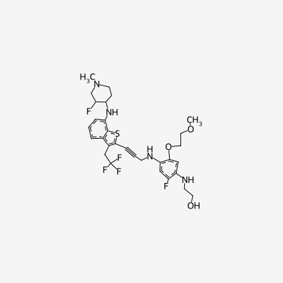 COCCOc1cc(NCCO)c(F)cc1NCC#Cc1sc2c(NC3CCN(C)CC3F)cccc2c1CC(F)(F)F